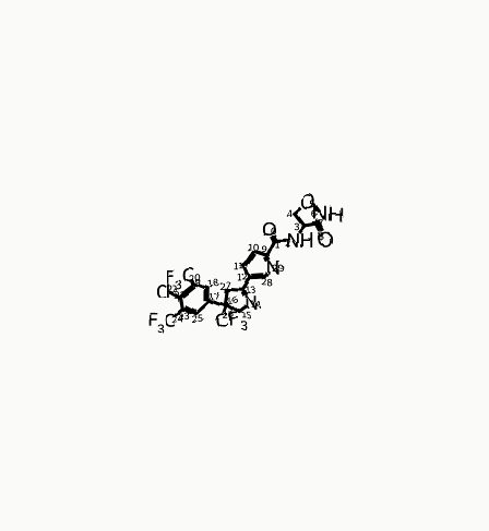 O=C(NC1CONC1=O)c1ccc(C2=NCC(c3cc(C(F)(F)F)c(Cl)c(C(F)(F)F)c3)(C(F)(F)F)C2)cn1